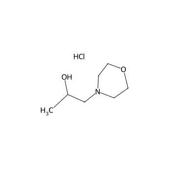 CC(O)CN1CCOCC1.Cl